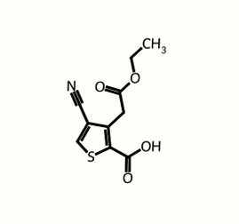 CCOC(=O)Cc1c(C#N)csc1C(=O)O